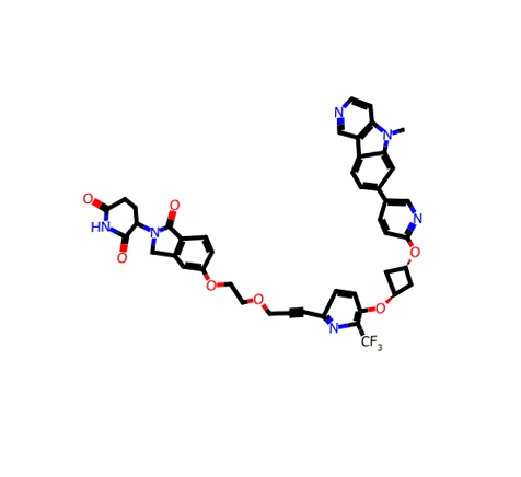 Cn1c2ccncc2c2ccc(-c3ccc(O[C@H]4C[C@H](Oc5ccc(C#CCOCCOc6ccc7c(c6)CN(C6CCC(=O)NC6=O)C7=O)nc5C(F)(F)F)C4)nc3)cc21